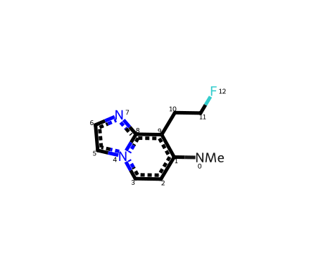 CNc1ccn2ccnc2c1CCF